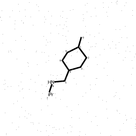 CC1CCC(CNC(C)C)CC1